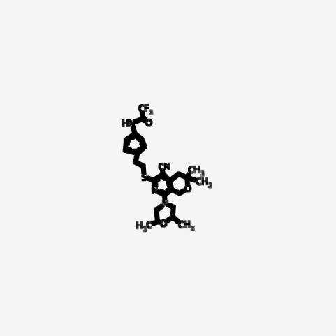 CC1CN(c2nc(SCCc3ccc(NC(=O)C(F)(F)F)cc3)c(C#N)c3c2COC(C)(C)C3)CC(C)O1